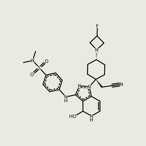 CN(C)S(=O)(=O)c1ccc(Nc2nn([C@]3(CC#N)CC[C@H](N4CC(F)C4)CC3)c3c2C(O)NC=C3)cc1